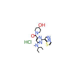 CCC(CC)N(C)c1cc(C(=O)N2CCC(O)CC2)nc(-c2cnn3ccsc23)n1.Cl